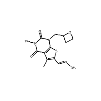 Cc1c(C=NO)sc2c1c(=O)n(C(C)C)c(=O)n2CC1CCO1